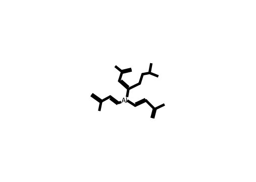 C=C(C)C=[CH][Al]([CH]=CC(=C)C)[C](=CC(=C)C)CCC(C)C